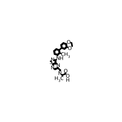 Cc1c(Nc2nsc3ncc(C=NC(C)C(=O)O)nc23)cccc1-c1ccc2c(c1)OCCO2